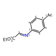 CCOC(=O)C=Nc1ccc(C(C)=O)cc1